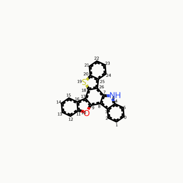 c1ccc2c(c1)[nH]c1c2c2oc3ccccc3c2c2sc3ccccc3c12